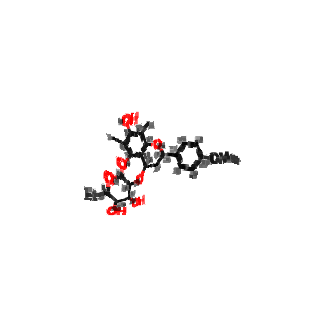 CCC1OC2Oc3c(C)c(O)c(C)c4c3C(C[C@H](c3ccc(OC)cc3)O4)OC2C(O)C1O